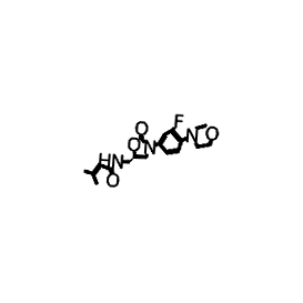 CC(C)=CC(=O)NC[C@H]1CN(c2ccc(N3CCOCC3)c(F)c2)C(=O)O1